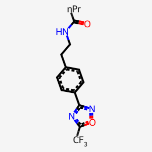 CCCC(=O)NCCc1ccc(-c2noc(C(F)(F)F)n2)cc1